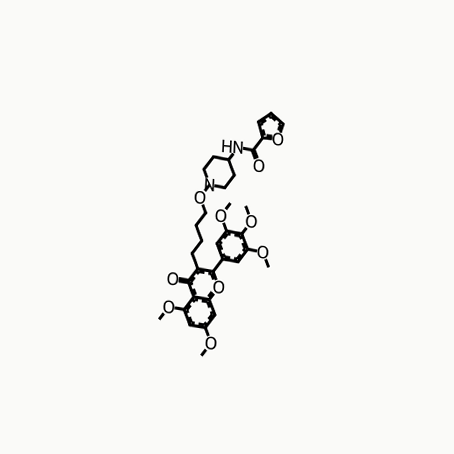 COc1cc(OC)c2c(=O)c(CCCCON3CCC(NC(=O)c4ccco4)CC3)c(-c3cc(OC)c(OC)c(OC)c3)oc2c1